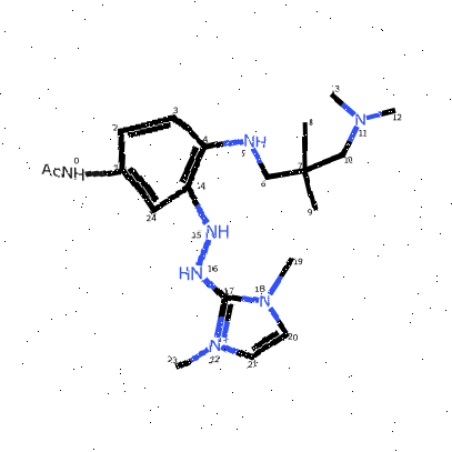 CC(=O)Nc1ccc(NCC(C)(C)CN(C)C)c(NNc2n(C)cc[n+]2C)c1